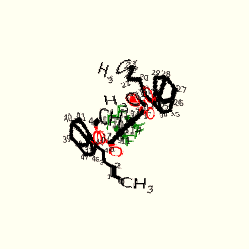 CCCCCC1(OC(=O)C(F)(F)C(F)(F)C(=O)OC2(CCCCC)C3CC4CC(C3)C(OCC)C2C4)C2CC3CC(C2)C(OCC)C1C3